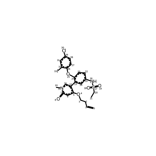 C=CCCOc1cc(=O)n(C)cc1-c1cc(NS(=O)(=O)CC)ccc1Oc1ccc(Cl)cc1I